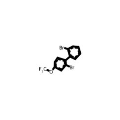 FC(F)(F)Oc1ccc(-c2ccccc2Br)c(Br)c1